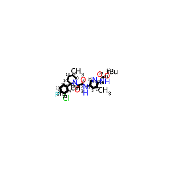 Cc1cc(NC(=O)C(=O)N2C[C@@H](C)CC[C@@]2(C)c2ccc(F)c(Cl)c2)cnc1NC(=O)OC(C)(C)C